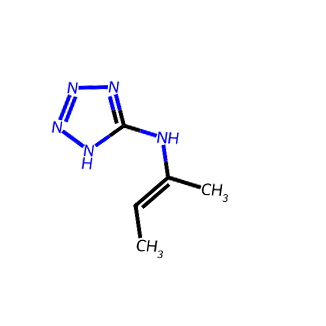 CC=C(C)Nc1nnn[nH]1